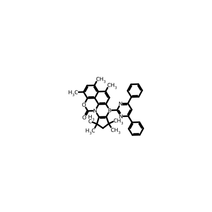 Cc1cc(C)c2c(C)cc3c4c2c1OC(=O)N4C1=C(B3c2nc(-c3ccccc3)cc(-c3ccccc3)n2)C(C)(C)CC1(C)C